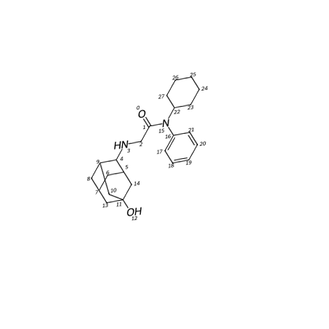 O=C(CNC1C2CC3CC1CC(O)(C3)C2)N(c1ccccc1)C1CCCCC1